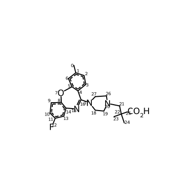 Cc1ccc2c(c1)Oc1ccc(F)cc1N=C2N1CCN(CC(C)(C)C(=O)O)CC1